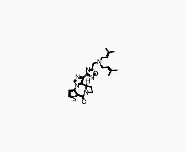 CC(C)=CCN(CC=C(C)C)Cc1nc(-c2ncn3c2[C@@H]2CCN2C(=O)c2sccc2-3)no1